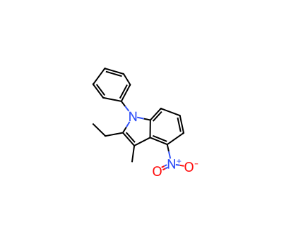 CCc1c(C)c2c([N+](=O)[O-])cccc2n1-c1ccccc1